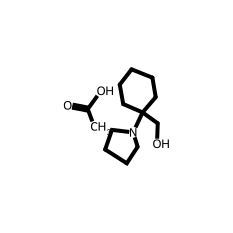 CC(=O)O.OCC1(N2CCCC2)CCCCC1